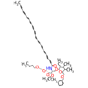 CC#CC#CC#CC#CC#CC#CC#CC#CC#CC#CC#CC#CC(=O)N[C@@H](COC1OC(COCc2ccccc2)C(C)C(C)C1C)[C@@H]1OC(C)(C)O[C@@H]1COCCOCCCC